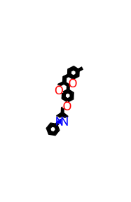 Cc1ccc(/C=C2/COc3cc(OCc4cnn(-c5ccccc5)c4)ccc3C2=O)cc1